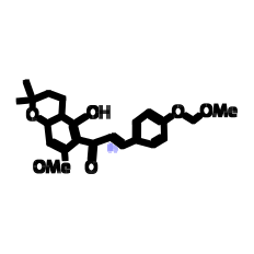 COCOc1ccc(/C=C/C(=O)C2=C(O)C3CCC(C)(C)OC3C=C2OC)cc1